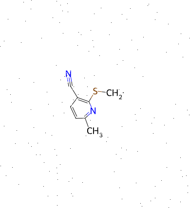 [CH2]Sc1nc(C)ccc1C#N